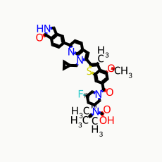 COc1cc(C(=O)N2C[C@H](F)C[C@@H](N(C(=O)O)C(C)(C)C)C2)cc2sc(-c3cc4ccc(-c5ccc6c(c5)CNC6=O)nc4n3CC3CC3)c(C)c12